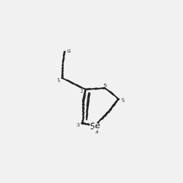 CCC1=C[Se]CC1